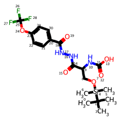 CC(C)(C)[Si](C)(C)OCC(NC(=O)O)C(=O)NNC(=O)c1ccc(OC(F)(F)F)cc1